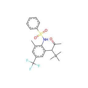 CC(=O)C(c1cc(C(F)(F)F)cc(C)c1NS(=O)(=O)c1ccccc1)[Si](C)(C)C